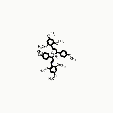 COc1ccc(C(/C=C/c2c(OC)cc(OC)cc2OC)S(=O)(=O)C(/C=C/c2c(OC)cc(OC)cc2OC)c2ccc(OC)cc2)cc1